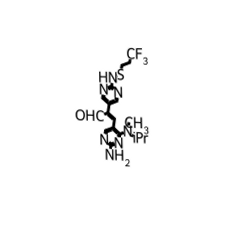 CC(C)N(C)c1nc(N)ncc1/C=C(\C=O)c1cnc(NSCCC(F)(F)F)nc1